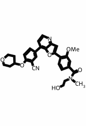 COc1cc(C(=O)N(C)CCO)ccc1-c1cc2nccc(-c3ccc(OC4CCOCC4)c(C#N)c3)c2o1